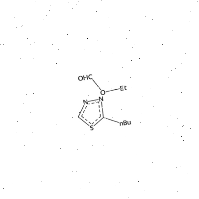 CCCCc1nncs1.CCOC=O